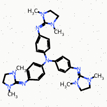 CN1CCN(C)C1=Nc1ccc(N(c2ccc(N=C3N(C)CCN3C)cc2)c2ccc(N=C3N(C)CCN3C)cc2)cc1